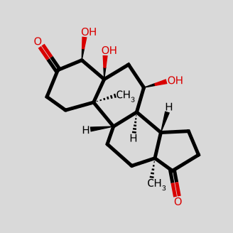 C[C@]12CC[C@H]3[C@@H]([C@H](O)C[C@@]4(O)[C@H](O)C(=O)CC[C@]34C)[C@@H]1CCC2=O